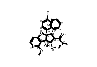 COc1nccc2c1[C@]1(O)[C@H](O)[C@H](C(=O)N(C)C)[C@@H](c3ccccc3)[C@]1(c1ccc(Br)cc1)O2